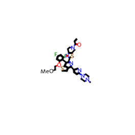 C=CC(=O)N1CCc2nc(-c3nc(-c4ccc(N5CCN(C)CC5)nc4)c4ccsc4c3-c3c(F)cc(F)cc3OCCOC)sc2C1